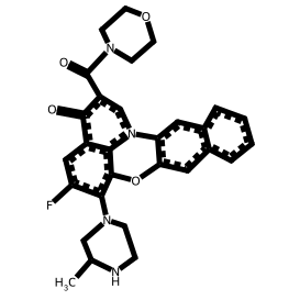 CC1CN(c2c(F)cc3c(=O)c(C(=O)N4CCOCC4)cn4c3c2Oc2cc3ccccc3cc2-4)CCN1